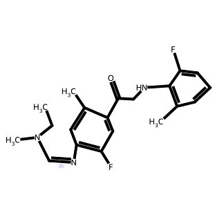 CCN(C)/C=N\c1cc(C)c(C(=O)CNc2c(C)cccc2F)cc1F